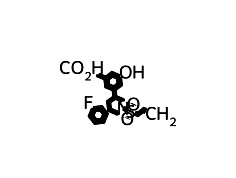 C=CCS(=O)(=O)N1CCCC(c2cc(O)cc(CC(=O)O)c2)C1.Fc1ccccc1